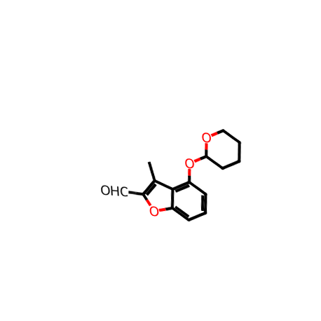 Cc1c(C=O)oc2cccc(OC3CCCCO3)c12